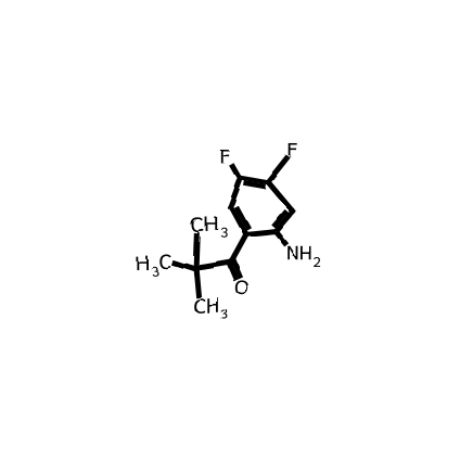 CC(C)(C)C(=O)c1cc(F)c(F)cc1N